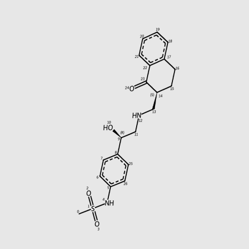 CS(=O)(=O)Nc1ccc([C@@H](O)CNC[C@@H]2CCc3ccccc3C2=O)cc1